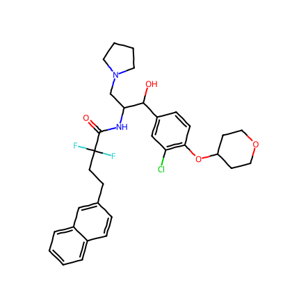 O=C(NC(CN1CCCC1)C(O)c1ccc(OC2CCOCC2)c(Cl)c1)C(F)(F)CCc1ccc2ccccc2c1